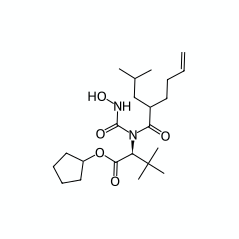 C=CCCC(CC(C)C)C(=O)N(C(=O)NO)[C@H](C(=O)OC1CCCC1)C(C)(C)C